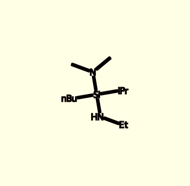 CCCC[Si](NCC)(C(C)C)N(C)C